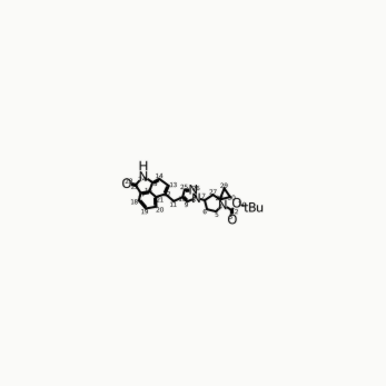 CC(C)(C)OC(=O)N1CCC(n2cc(Cc3ccc4c5c(cccc35)C(=O)N4)cn2)CC12CC2